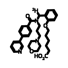 [2H]C(c1ccccc1OCCCCCC(=O)O)N(CCCN1CCOCC1)C(=O)c1ccc(-c2cccnc2)cc1